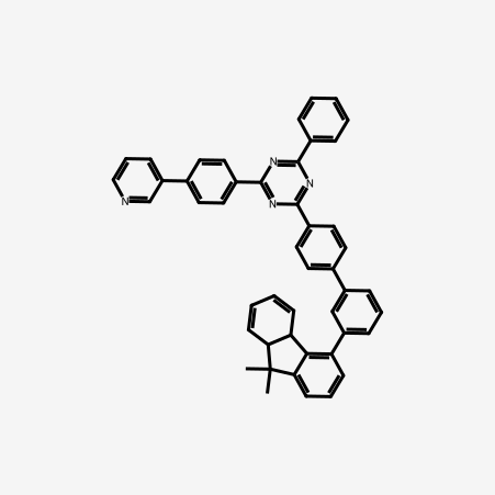 CC1(C)c2cccc(-c3cccc(-c4ccc(-c5nc(-c6ccccc6)nc(-c6ccc(-c7cccnc7)cc6)n5)cc4)c3)c2C2C=CC=CC21